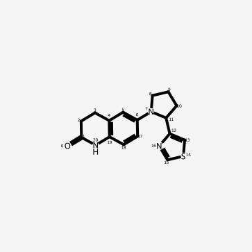 O=C1CCc2cc(N3CCCC3c3cscn3)ccc2N1